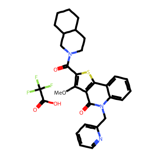 COc1c(C(=O)N2CCC3CCCCC3C2)sc2c1c(=O)n(Cc1ccccn1)c1ccccc21.O=C(O)C(F)(F)F